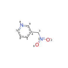 O=[N+]([O-])Cc1cccnc1